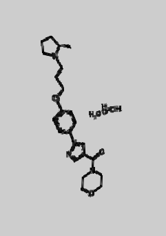 C[C@@H]1CCCN1CCCOc1ccc(-n2cc(C(=O)N3CCOCC3)cn2)cc1.Cl.O.O